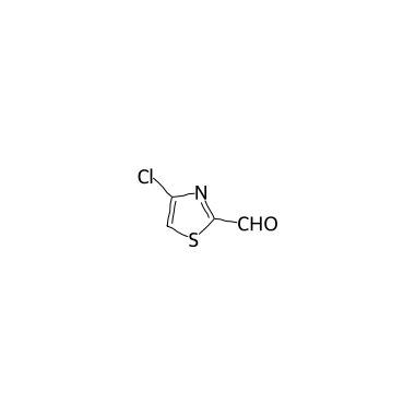 O=Cc1nc(Cl)cs1